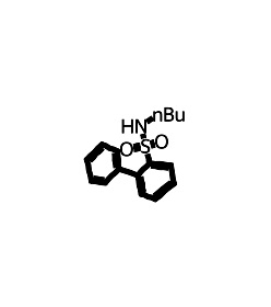 CCCCNS(=O)(=O)c1ccccc1-c1ccccc1